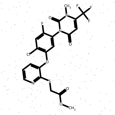 COC(=O)CSc1ncccc1Oc1cc(-n2c(=O)cc(C(F)(F)F)n(C)c2=O)c(F)cc1Cl